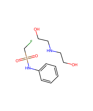 O=S(=O)(CF)Nc1ccccc1.OCCNCCO